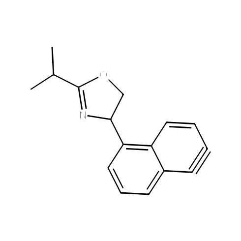 CC(C)C1=NC(c2cccc3c#cccc23)CO1